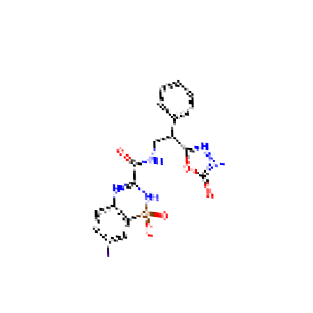 O=C(NCC(c1ccccc1)c1n[nH]c(=O)o1)C1=Nc2ccc(I)cc2S(=O)(=O)N1